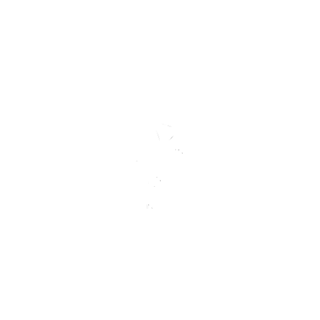 Cl.OC1(N2CCC(c3noc4cc(F)ccc34)CC2)CCCNC1